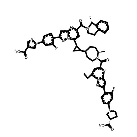 CCc1cc(C(=O)N2CCC(C3CC3c3cc(C(=O)N4CCc5ccccc5[C@H]4C)nc4cc(-c5ccc(-n6cc(C(=O)O)cn6)cc5F)nn34)CC[C@H]2C)nc2cc(-c3ccc(N4CC[C@H](C(=O)O)C4)cc3F)nn12